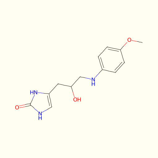 COc1ccc(NCC(O)Cc2c[nH]c(=O)[nH]2)cc1